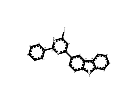 Ic1cc(-c2ccc3oc4ccccc4c3c2)nc(-c2ccccc2)n1